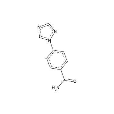 NC(=O)c1c[c]c(-n2cncn2)cc1